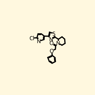 O=C(COc1ccccc1)N1CCCCC1c1nc(-c2ccc(Cl)nc2)cs1